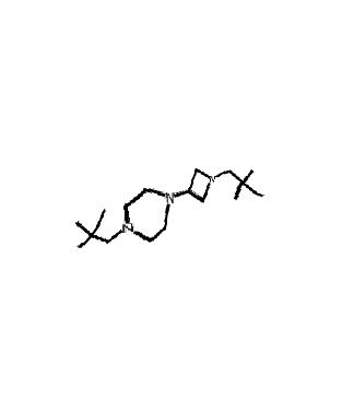 CC(C)(C)CN1CCN(C2CN(CC(C)(C)C)C2)CC1